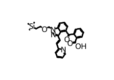 C[Si](C)(C)CCOCn1nc(C=Cc2ccccn2)c2c(C(=O)c3ccccc3C(=O)O)cccc21